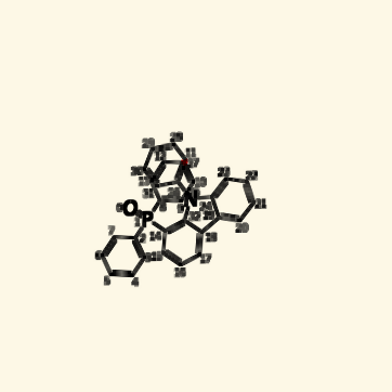 O=P(c1ccccc1)(c1ccccc1)c1cccc2c3ccccc3n(-c3ccccc3)c12